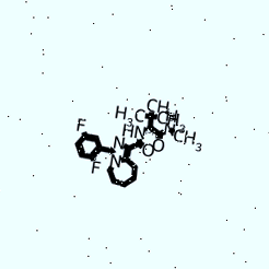 CNC(=O)[C@@H](NC(=O)c1nc(-c2cc(F)ccc2F)n2c1CCCCC2)C(C)(C)C